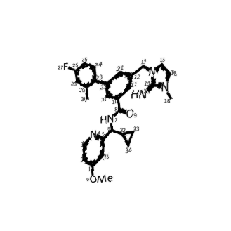 COc1ccnc(C(NC(=O)c2cc(Cn3ccn(C)c3=N)cc(-c3ccc(F)cc3C)c2)C2CC2)c1